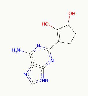 Nc1nc(C2=C(O)C(O)CC2)nc2[nH]cnc12